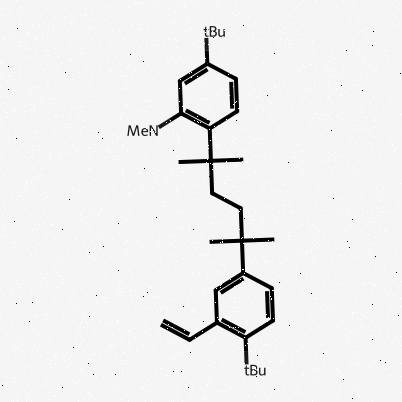 C=Cc1cc(C(C)(C)CCC(C)(C)c2ccc(C(C)(C)C)cc2NC)ccc1C(C)(C)C